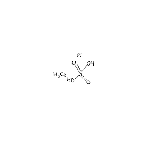 O=S(=O)(O)O.[CaH2].[P]